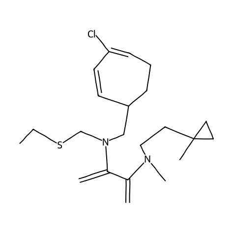 C=C(C(=C)N(CSCC)CC1C=CC(Cl)=CCC1)N(C)CCC1(C)CC1